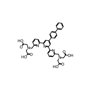 O=C(O)CN(CC(=O)O)Cc1cccc(-c2cc(-c3ccc(-c4ccccc4)cc3)cc(-c3cccc(CN(CC(=O)O)CC(=O)O)n3)n2)n1